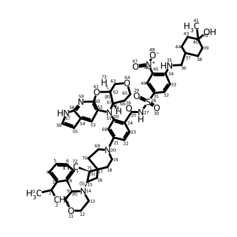 CC(C)c1ccccc1[C@@H]1COCCN1[C@H]1CC2(CCN(c3ccc(C(=O)NS(=O)(=O)c4ccc(NCC5CCC(C)(O)CC5)c([N+](=O)[O-])c4)c(N4c5cc6cc[nH]c6nc5O[C@H]5COCC[C@@H]54)c3)CC2)[C@@H]1C